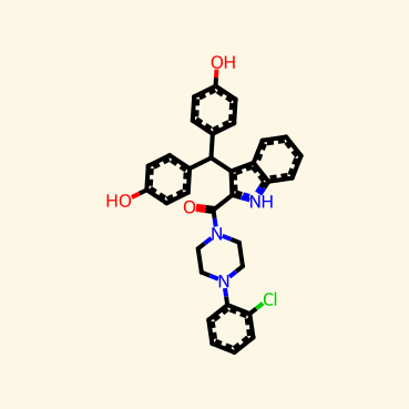 O=C(c1[nH]c2ccccc2c1C(c1ccc(O)cc1)c1ccc(O)cc1)N1CCN(c2ccccc2Cl)CC1